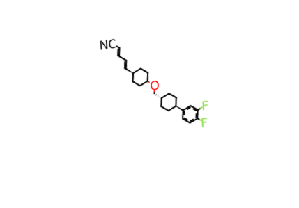 N#C/C=C/C=C/[C@H]1CC[C@H](OC[C@H]2CC[C@H](c3ccc(F)c(F)c3)CC2)CC1